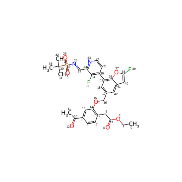 CCOC(=O)Cc1ccc(C(C)=O)cc1OCc1cc(-c2ccnc(C=NS(=O)(=O)C(C)(C)C)c2F)c2oc(F)cc2c1